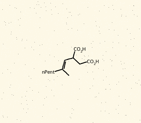 CCCCCC(C)=CC(CC(=O)O)C(=O)O